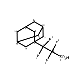 O=S(=O)(O)C(F)(F)C(F)(F)C12CC3CC(CC(C3)C1)C2